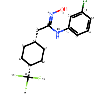 O/N=C(/C[C@H]1CC[C@@H](C(F)(F)F)CC1)Nc1cccc(Cl)c1